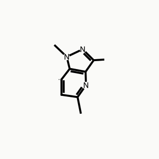 Cc1c[c]c2c(n1)c(C)nn2C